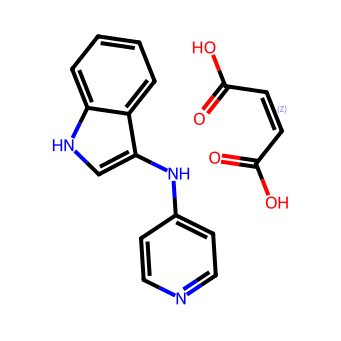 O=C(O)/C=C\C(=O)O.c1ccc2c(Nc3ccncc3)c[nH]c2c1